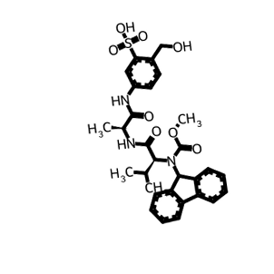 COC(=O)N(C1c2ccccc2-c2ccccc21)[C@H](C(=O)N[C@@H](C)C(=O)Nc1ccc(CO)c(S(=O)(=O)O)c1)C(C)C